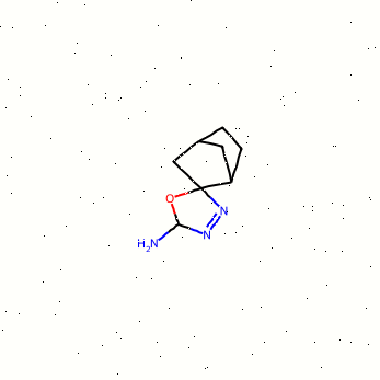 NC1N=NC2(CC3CCC2C3)O1